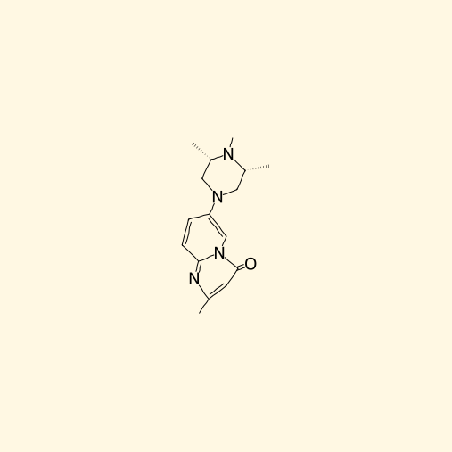 Cc1cc(=O)n2cc(N3C[C@@H](C)N(C)[C@@H](C)C3)ccc2n1